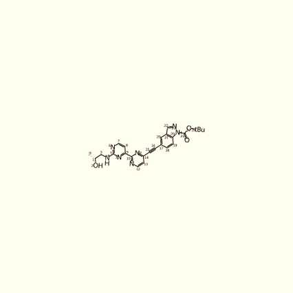 C[C@@H](O)CNc1nccc(-c2nccc(C#Cc3ccc4c(cnn4C(=O)OC(C)(C)C)c3)n2)n1